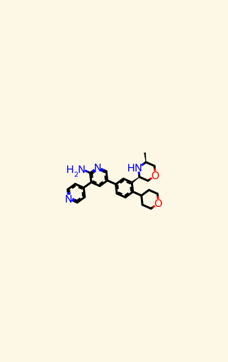 C[C@H]1COC[C@@H](c2cc(-c3cnc(N)c(-c4ccncc4)c3)ccc2C2CCOCC2)N1